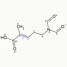 C/C(=C\CCN(C=O)C=O)C(=O)O